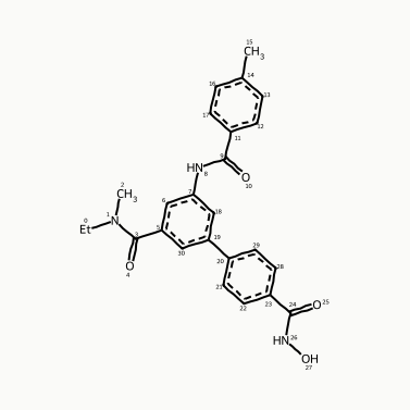 CCN(C)C(=O)c1cc(NC(=O)c2ccc(C)cc2)cc(-c2ccc(C(=O)NO)cc2)c1